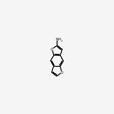 Nc1cc2cc3occc3cc2o1